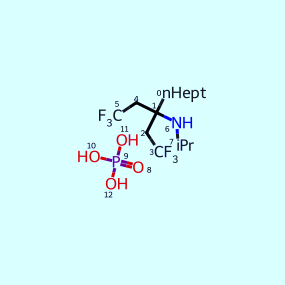 CCCCCCCC(CC(F)(F)F)(CC(F)(F)F)NC(C)C.O=P(O)(O)O